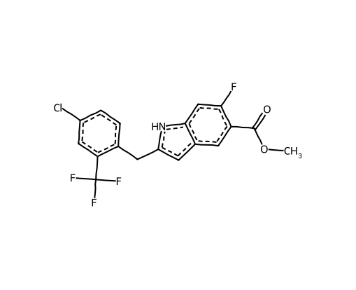 COC(=O)c1cc2cc(Cc3ccc(Cl)cc3C(F)(F)F)[nH]c2cc1F